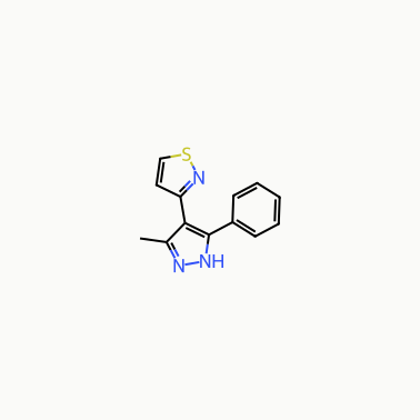 Cc1n[nH]c(-c2ccccc2)c1-c1ccsn1